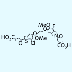 COc1c(OCCCOc2cc3cc(C(=O)CC(C)C(=O)O)sc3c(Cl)c2OC)cc2c(c1F)CN(C(=O)CC(C)C(=O)O)C2